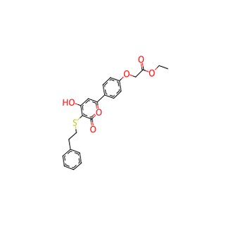 CCOC(=O)COc1ccc(-c2cc(O)c(SCCc3ccccc3)c(=O)o2)cc1